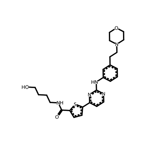 O=C(NCCCCO)c1ccc(-c2ccnc(Nc3cccc(CCN4CCOCC4)c3)n2)s1